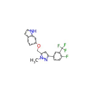 Cn1nc(-c2ccc(F)c(C(F)(F)F)c2)cc1COc1ccc2cc[nH]c2c1